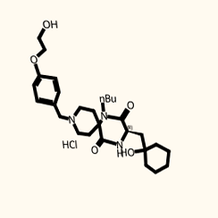 CCCCN1C(=O)[C@@H](CC2(O)CCCCC2)NC(=O)C12CCN(Cc1ccc(OCCO)cc1)CC2.Cl